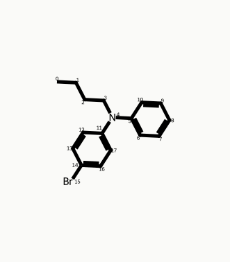 CCCCN(c1ccccc1)c1ccc(Br)cc1